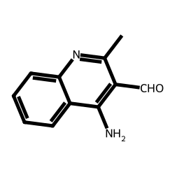 Cc1nc2ccccc2c(N)c1C=O